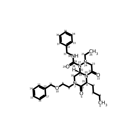 CCCC[C@H]1C(=O)N(CCOCc2ccccc2)C[C@H]2N1C(=O)CN(CC)N2C(=O)NCc1ccccc1